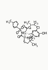 Cc1ccc(S(=O)(=O)N(C(=O)[C@H]2NC(C)(C)CS2)[C@@H](Cc2ccc(O)c(Cl)c2)C(=O)OC(C)C)cc1